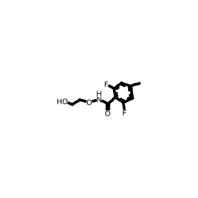 Cc1cc(F)c(C(=O)NOCCO)c(F)c1